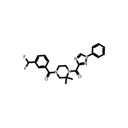 CC1(C)CN(C(=O)c2cccc(C(F)F)c2)CCN1C(=O)c1ncn(-c2ccccc2)n1